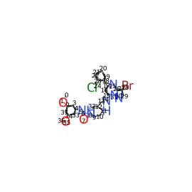 COc1cc(NC(=O)N2CCCC(CNc3cc(-c4ccccc4Cl)nc4c(Br)cnn34)C2)cc(OC)c1